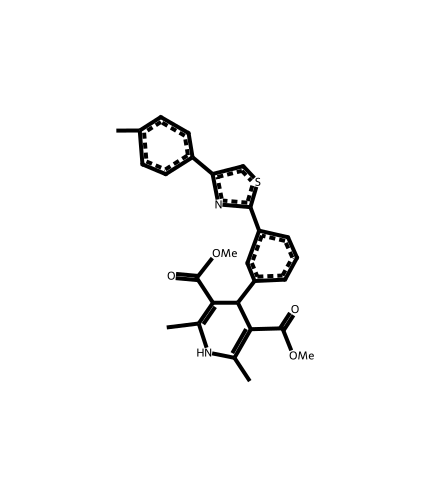 COC(=O)C1=C(C)NC(C)=C(C(=O)OC)C1c1cccc(-c2nc(-c3ccc(C)cc3)cs2)c1